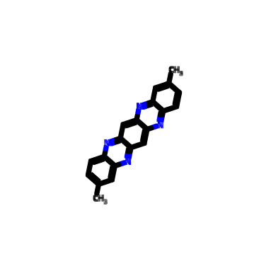 Cc1ccc2nc3cc4nc5cc(C)ccc5nc4cc3nc2c1